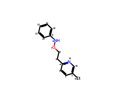 CCc1ccc(CCONc2ccccc2)nc1